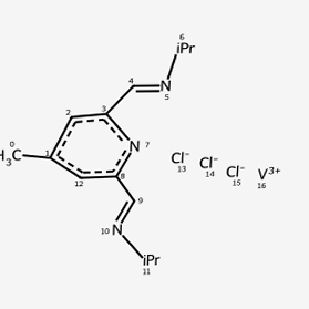 Cc1cc(C=NC(C)C)nc(C=NC(C)C)c1.[Cl-].[Cl-].[Cl-].[V+3]